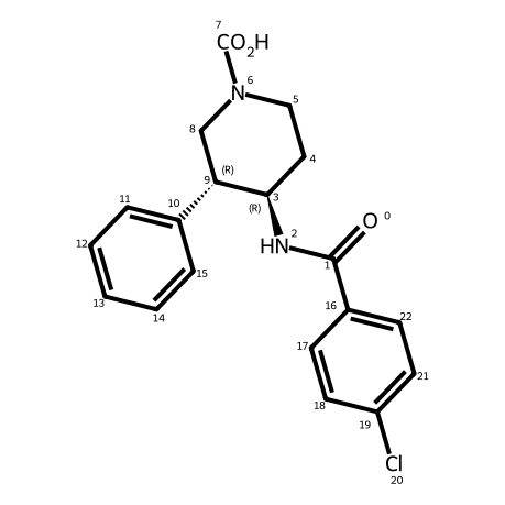 O=C(N[C@@H]1CCN(C(=O)O)C[C@H]1c1ccccc1)c1ccc(Cl)cc1